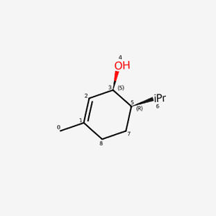 CC1=C[C@@H](O)[C@@H](C(C)C)CC1